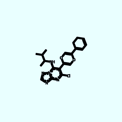 CC(C)C(C)Nc1c(C2=COC(C3=CC=CCC3)=CO2)c(Cl)nc2ncnn12